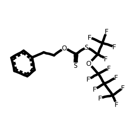 FC(F)(F)C(F)(OC(F)(F)C(F)(F)C(F)(F)F)SC(=S)OCCc1ccccc1